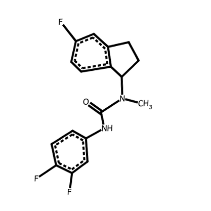 CN(C(=O)Nc1ccc(F)c(F)c1)C1CCc2cc(F)ccc21